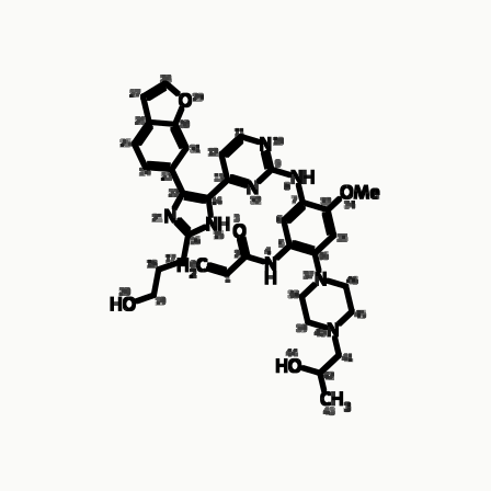 C=CC(=O)Nc1cc(Nc2nccc(-c3[nH]c(CCCO)nc3-c3ccc4ccoc4c3)n2)c(OC)cc1N1CCN(CC(C)O)CC1